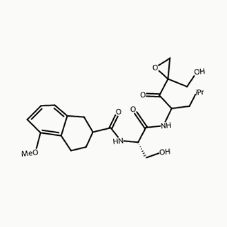 COc1cccc2c1CCC(C(=O)N[C@@H](CO)C(=O)NC(CC(C)C)C(=O)C1(CO)CO1)C2